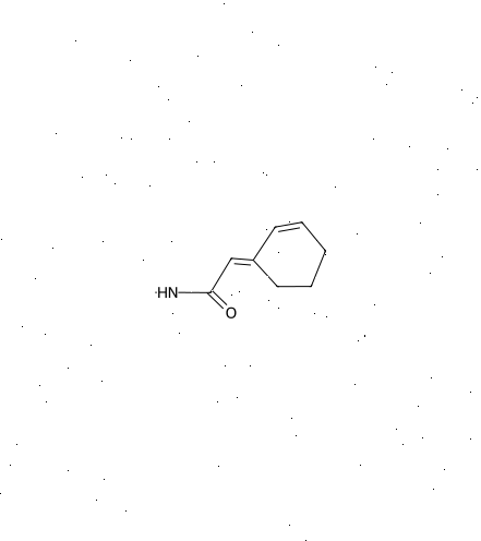 [NH]C(=O)/C=C1/C=CCCC1